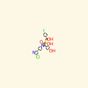 O=C1[C@H](SC[C@@H](O)c2ccc(F)cc2)[C@@H](c2ccc(O)cc2O)N1c1ccc(-c2cncc(Cl)c2)cc1